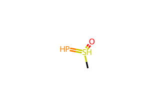 C[SH](=O)=P